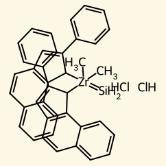 Cl.Cl.[CH3][Zr]([CH3])(=[SiH2])([CH]1C(c2ccccc2)=Cc2ccc3ccccc3c21)[CH]1C(c2ccccc2)=Cc2ccc3ccccc3c21